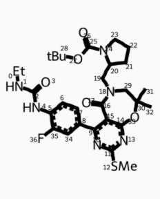 CCNC(=O)Nc1ccc(-c2nc(SC)nc3c2C(=O)N(CC2CCCN2C(=O)OC(C)(C)C)CC(C)(C)O3)cc1F